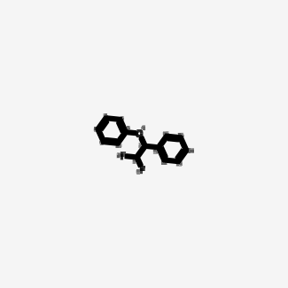 FC(F)C(Oc1ccccc1)c1ccccc1